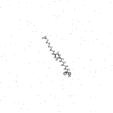 C1CC1.CCCCCCCCc1ccc(CCCCCCCC(=O)OC)cc1